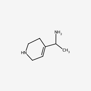 CC(N)C1=CCNCC1